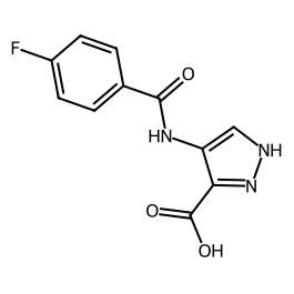 O=C(Nc1c[nH]nc1C(=O)O)c1ccc(F)cc1